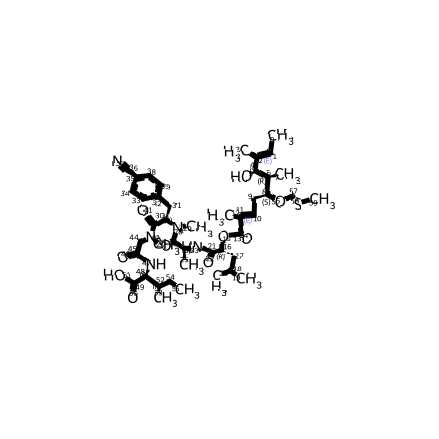 C/C=C(\C)[C@@H](O)[C@@H](C)[C@H](C/C=C(\C)C(=O)O[C@H](CC(C)C)C(=O)N[C@@H](C)C(=O)N(C)[C@H](Cc1ccc(C#N)cc1)C(=O)N(C)CC(=O)N[C@H](C(=O)O)[C@H](C)CC)OCSC